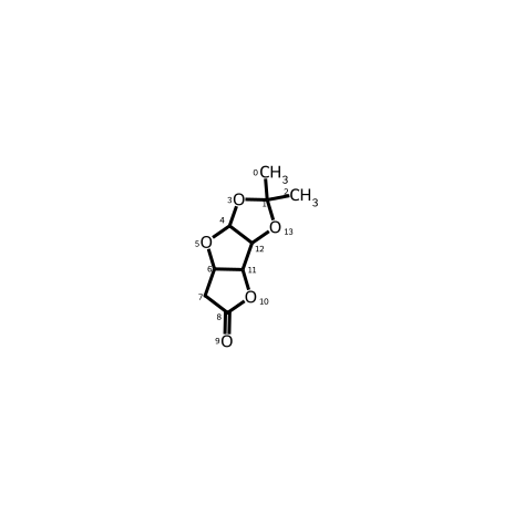 CC1(C)OC2OC3CC(=O)OC3C2O1